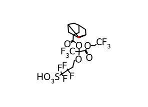 O=C(OC(OCCC(F)(F)C(F)(F)S(=O)(=O)O)(C(=O)OCC(F)(F)F)C(F)(F)F)C12CC3CC(CC(C3)C1)C2